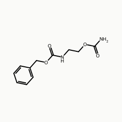 NC(=O)OCCNC(=O)OCc1ccccc1